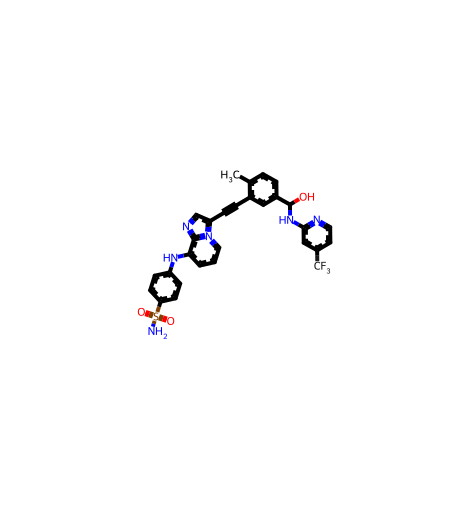 Cc1ccc(C(O)Nc2cc(C(F)(F)F)ccn2)cc1C#Cc1cnc2c(Nc3ccc(S(N)(=O)=O)cc3)cccn12